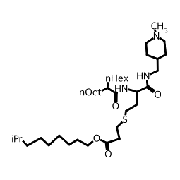 CCCCCCCCC(CCCCCC)C(=O)NC(CCSCCC(=O)OCCCCCCCC(C)C)C(=O)NCC1CCN(C)CC1